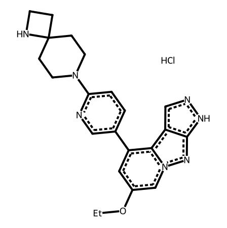 CCOc1cc(-c2ccc(N3CCC4(CCN4)CC3)nc2)c2c3cn[nH]c3nn2c1.Cl